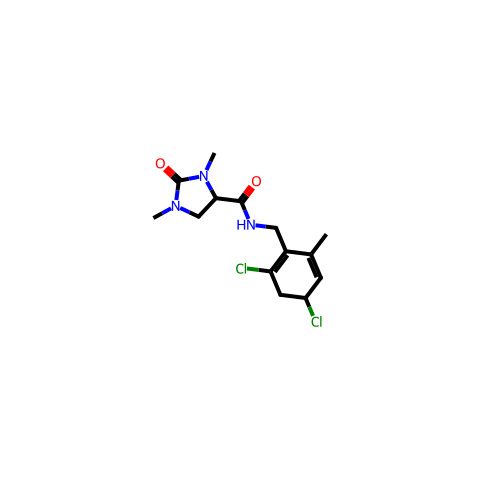 CC1=CC(Cl)CC(Cl)=C1CNC(=O)C1CN(C)C(=O)N1C